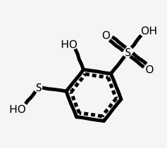 O=S(=O)(O)c1cccc(SO)c1O